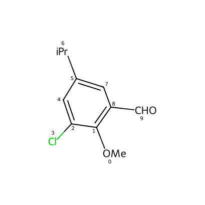 COc1c(Cl)cc(C(C)C)cc1C=O